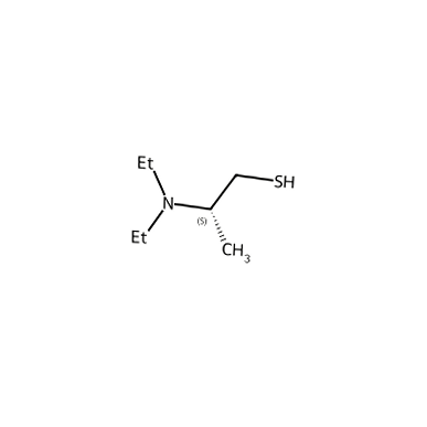 CCN(CC)[C@@H](C)CS